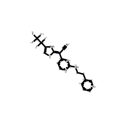 N#C/C(=C1\NC(C(F)(F)C(F)(F)F)=CS1)c1ccnc(NCCc2cccnc2)n1